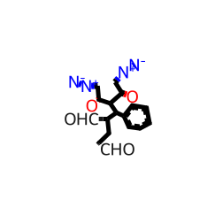 [N-]=[N+]=CC(=O)C(C(=O)C=[N+]=[N-])C(c1ccccc1)C(C=O)CCC=O